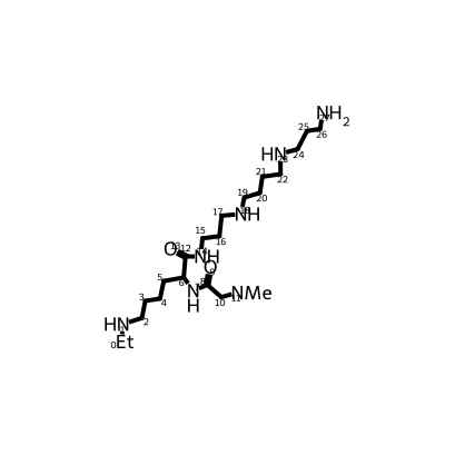 CCNCCCCC(NC(=O)CNC)C(=O)NCCCNCCCCNCCCN